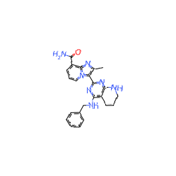 Cc1nc2c(C(N)=O)cccn2c1-c1nc2c(c(NCc3ccccc3)n1)CCCN2